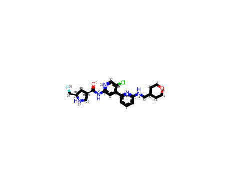 O=C(Nc1cc(-c2cccc(NCC3CCOCC3)n2)c(Cl)cn1)[C@H]1CN[C@@H](CF)C1